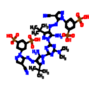 CN(C)c1nc(-n2nc(C(C)(C)C)c(N=Nc3c(C#N)cnn3-c3cc(S(=O)(=O)O)cc(S(=O)(=O)O)c3)c2N)nc(-n2nc(C(C)(C)C)c(N=Nc3c(C#N)cnn3-c3cc(S(=O)(=O)O)cc(S(=O)(=O)O)c3)c2N)n1